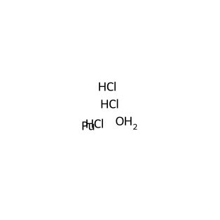 Cl.Cl.Cl.O.[Pu]